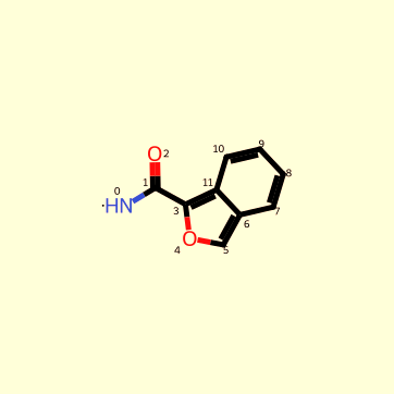 [NH]C(=O)c1occ2ccccc12